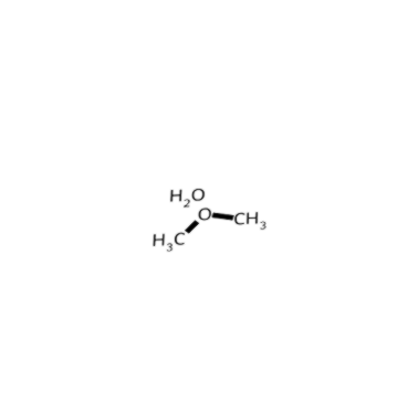 COC.O